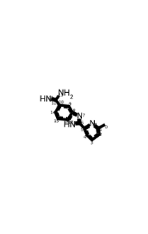 Cc1cccc(-c2nc3cc(C(=N)N)ccc3[nH]2)n1